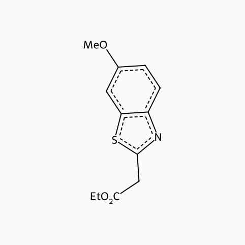 CCOC(=O)Cc1nc2ccc(OC)cc2s1